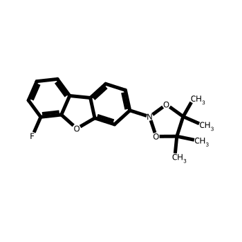 CC1(C)ON(c2ccc3c(c2)oc2c(F)cccc23)OC1(C)C